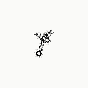 CC(C)(C)OC(=O)[C@@]12CCCN1[C@@H](CCOCc1ccccc1)[C@@H](CO)C2